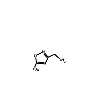 CC(C)(C)c1cc(CN)no1